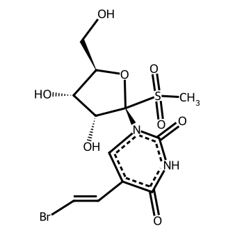 CS(=O)(=O)[C@@]1(n2cc(C=CBr)c(=O)[nH]c2=O)O[C@H](CO)[C@@H](O)[C@H]1O